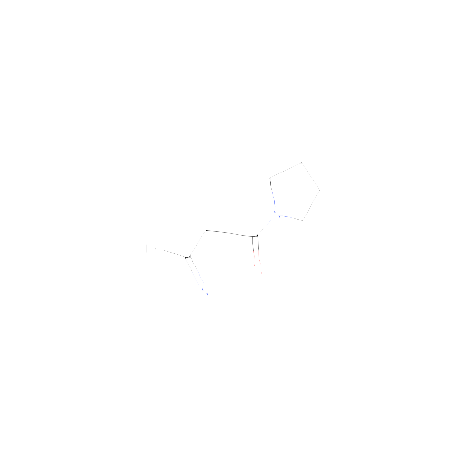 CC(=N)CC(=O)N1CCCC1